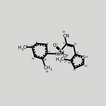 Cc1ccc(NS(=O)(=O)/C(C#N)=C\c2sccc2C)c(C)c1